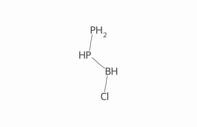 PPBCl